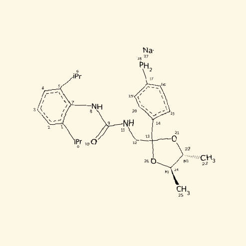 CC(C)c1cccc(C(C)C)c1NC(=O)NCC1(c2ccc(P)cc2)O[C@H](C)[C@@H](C)O1.[Na]